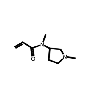 C=[C]C(=O)N(C)C1CCN(C)C1